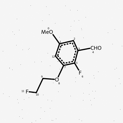 COc1cc(C=O)c(F)c(OCCF)c1